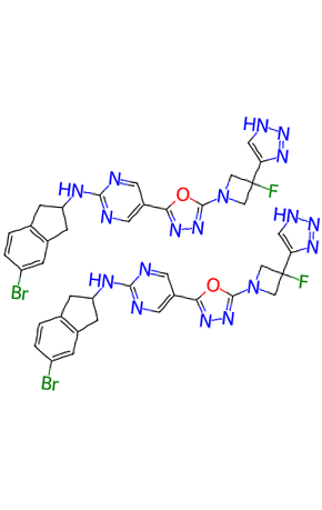 FC1(c2c[nH]nn2)CN(c2nnc(-c3cnc(NC4Cc5ccc(Br)cc5C4)nc3)o2)C1.FC1(c2c[nH]nn2)CN(c2nnc(-c3cnc(NC4Cc5ccc(Br)cc5C4)nc3)o2)C1